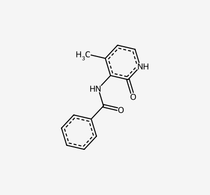 Cc1cc[nH]c(=O)c1NC(=O)c1ccccc1